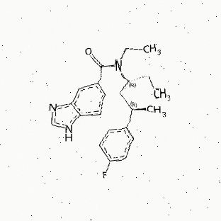 CC[C@H](C[C@@H](C)c1ccc(F)cc1)N(CC)C(=O)c1ccc2[nH]cnc2c1